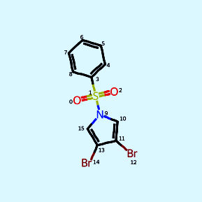 O=S(=O)(c1ccccc1)n1cc(Br)c(Br)c1